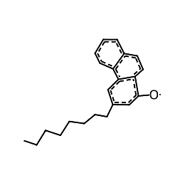 CCCCCCCCc1cc([O])c2ccc3ccccc3c2c1